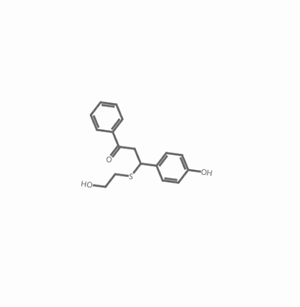 O=C(CC(SCCO)c1ccc(O)cc1)c1ccccc1